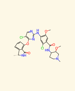 COc1cc(C(=O)NC2CCN(C)C[C@@H]2OC)c(Cl)cc1Nc1ncc(Cl)c(Oc2cccc3c2C(=O)N[C@@H]3C)n1